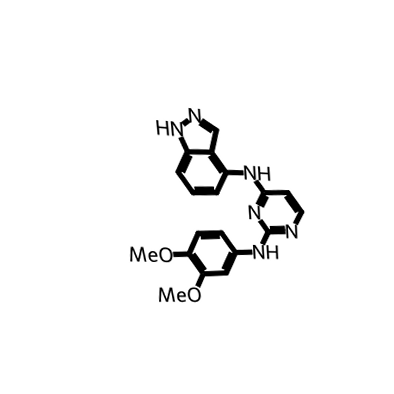 COc1ccc(Nc2nccc(Nc3cccc4[nH]ncc34)n2)cc1OC